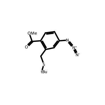 COC(=O)c1ccc(N=[N+]=[N-])cc1CSC(C)(C)C